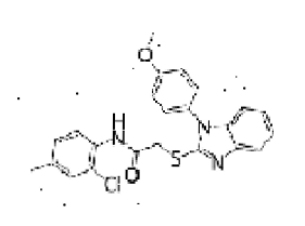 COc1ccc(-n2c(SCC(=O)Nc3ccc(C)cc3Cl)nc3ccccc32)cc1